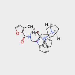 Cc1ccoc1C(=O)N1CCC(CCN2[C@@H]3CC[C@H]2C[C@@H](n2c(C)nc4ccccc42)C3)(c2ccccc2)CC1